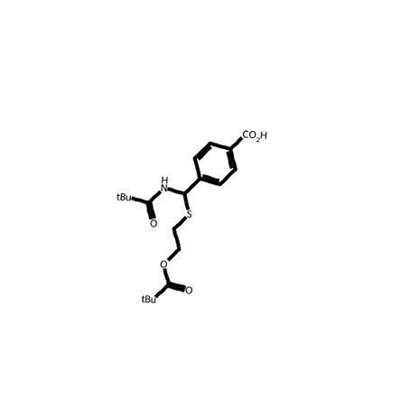 CC(C)(C)C(=O)NC(SCCOC(=O)C(C)(C)C)c1ccc(C(=O)O)cc1